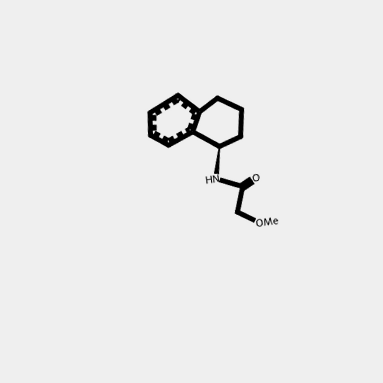 COCC(=O)N[C@@H]1CCCc2ccccc21